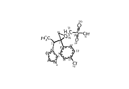 CC(n1cncn1)C1(c2ccc(Cl)cc2)CO1.CS(=O)(=O)O